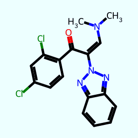 CN(C)C=C(C(=O)c1ccc(Cl)cc1Cl)n1nc2ccccc2n1